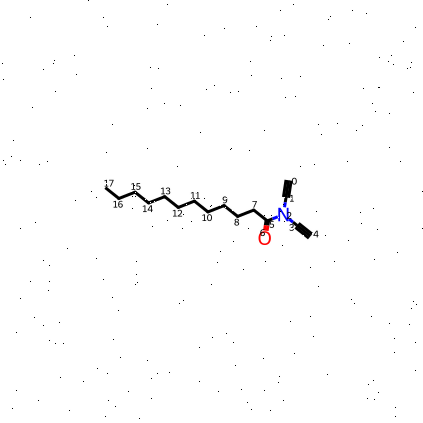 C#CN(C#C)C(=O)CCCCCCCCCCC